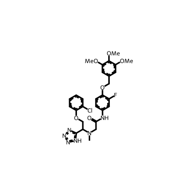 COc1cc(COc2ccc(NC(=O)CN(C)C(COc3ccccc3Cl)c3nnn[nH]3)cc2F)cc(OC)c1OC